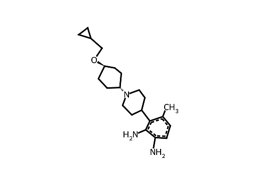 Cc1ccc(N)c(N)c1C1CCN([C@H]2CC[C@H](OCC3CC3)CC2)CC1